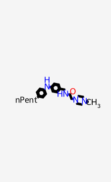 CCCCCc1ccc(Nc2ccc(CNC(=O)CN3CCN(C)CC3)cc2)cc1